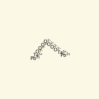 [O-2].[O-2].[O-2].[O-2].[O-2].[O-2].[O-2].[Pb+2].[Pb+2].[Ta+5].[Ta+5]